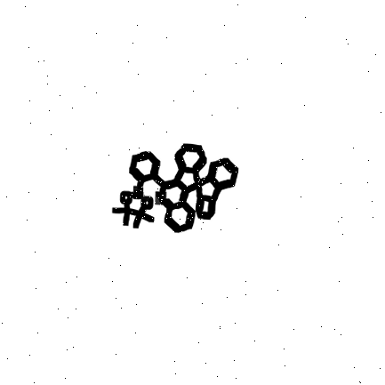 CC1(C)OB(c2ccccc2-c2nc3ccccc3c3c2-c2ccccc2C32c3ccccc3-c3ccccc32)OC1(C)C